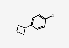 Clc1ccc(C2COC2)cc1